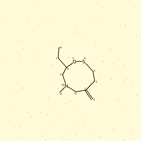 C=C1CCSOC(CC)CN(C)C1